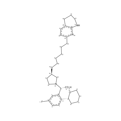 O=C(O)[C@H](c1cc(F)ccc1[C@H]1CCCCO1)N1CC[C@@H](OCCCCCc2ccc3c(n2)NCCC3)C1